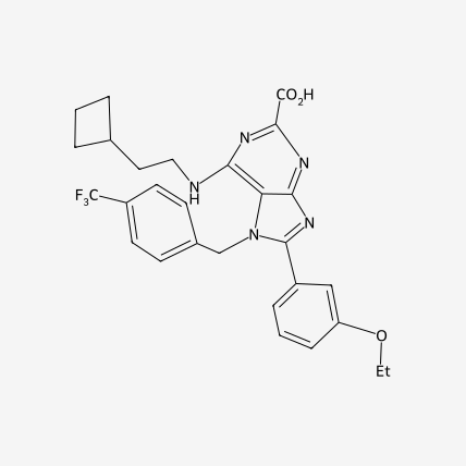 CCOc1cccc(-c2nc3nc(C(=O)O)nc(NCCC4CCC4)c3n2Cc2ccc(C(F)(F)F)cc2)c1